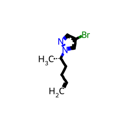 C=CCC[C@H](C)n1cc(Br)cn1